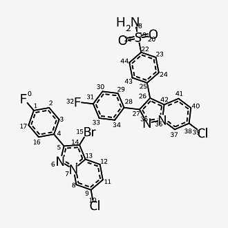 Fc1ccc(-c2nn3cc(Cl)ccc3c2Br)cc1.NS(=O)(=O)c1ccc(-c2c(-c3ccc(F)cc3)nn3cc(Cl)ccc23)cc1